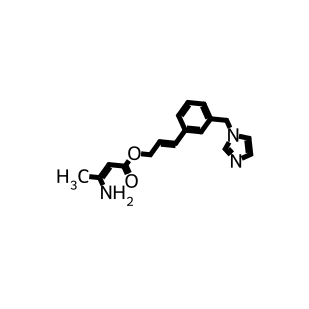 CC(N)=CC(=O)OCC=Cc1cccc(Cn2ccnc2)c1